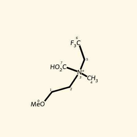 COCC[N+](C)(CC(F)(F)F)C(=O)O